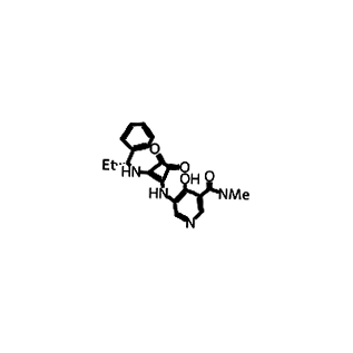 CC[C@@H](Nc1c(Nc2cncc(C(=O)NC)c2O)c(=O)c1=O)c1ccccc1